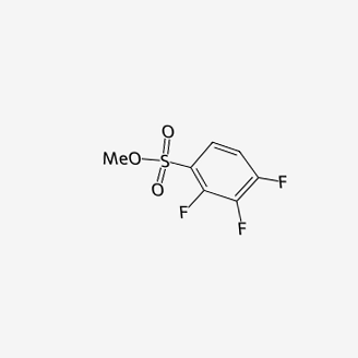 [CH2]OS(=O)(=O)c1ccc(F)c(F)c1F